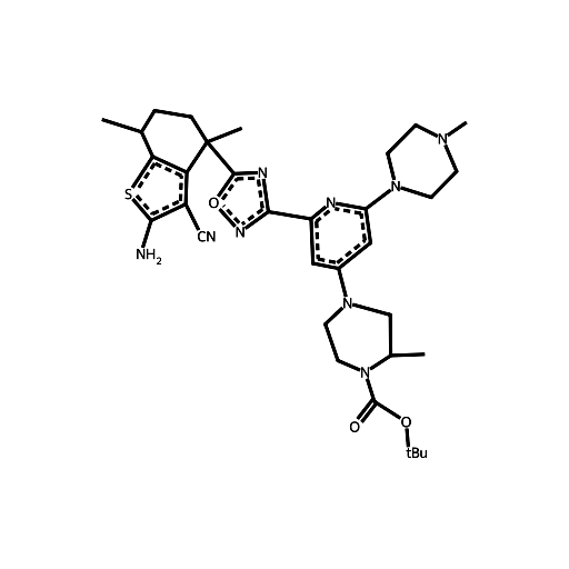 CC1CCC(C)(c2nc(-c3cc(N4CCN(C(=O)OC(C)(C)C)C(C)C4)cc(N4CCN(C)CC4)n3)no2)c2c1sc(N)c2C#N